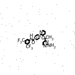 CC(Oc1cccnc1N1CCN(C(=O)Nc2cc(C(F)(F)F)cc(C(F)(F)F)c2)CC1)c1ccnc(N)n1